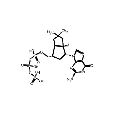 CC1(C)CC2[C@@H](COP(=O)(O)OP(=O)(O)OP(=O)(O)O)C[C@@H](n3cnc4c(=O)[nH]c(N)nc43)[C@H]2C1